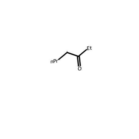 [CH2]CC[CH]C(=O)CC